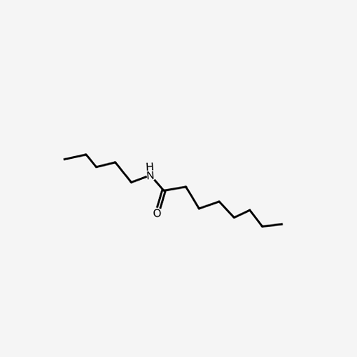 CCCCCCCC(=O)NCCCCC